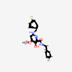 COc1cc(NCc2ccc(F)cc2)nc(C(=O)NCc2ccc(F)cc2)c1O